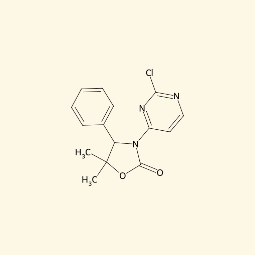 CC1(C)OC(=O)N(c2ccnc(Cl)n2)C1c1ccccc1